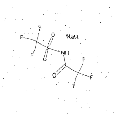 O=C(NS(=O)(=O)C(F)(F)F)C(F)(F)F.[NaH]